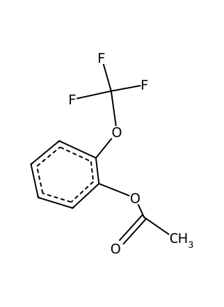 CC(=O)Oc1ccccc1OC(F)(F)F